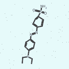 CCN(CC)c1ccc(N=Nc2ccc(S(N)(=O)=O)cc2)cc1